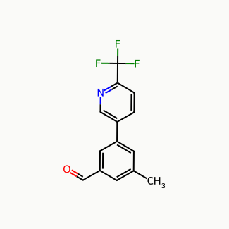 Cc1cc(C=O)cc(-c2ccc(C(F)(F)F)nc2)c1